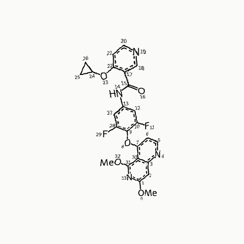 COc1cc2nccc(Oc3c(F)cc(NC(=O)c4cnccc4OC4CC4)cc3F)c2c(OC)n1